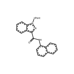 CCCCCn1nc(C(=O)Nc2cccc3ccccc23)c2ccccc21